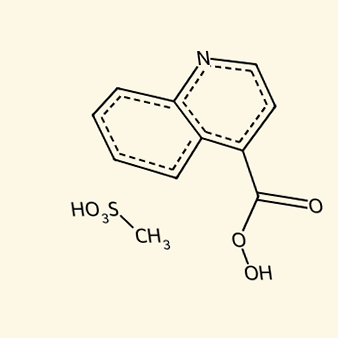 CS(=O)(=O)O.O=C(OO)c1ccnc2ccccc12